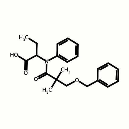 CCC(C(=O)O)N(C(=O)C(C)(C)COCc1ccccc1)c1ccccc1